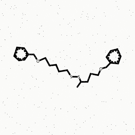 CC(CCCOCc1ccccc1)SSCCCCCOCc1ccccc1